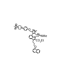 CCOC(=O)c1c(CCCOc2cccc3ccccc23)c2cccc(-c3c(COc4ccc(N5CCN(S(C)(=O)=O)CC5)cc4)nn(C)c3CBr)c2n1CCCNC